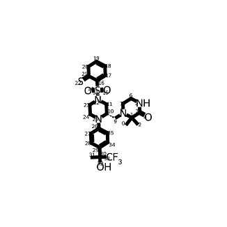 CC1(C)C(=O)NCCN1C[C@H]1CN(S(=O)(=O)C2=CC=CCC2=S)CCN1c1ccc(C(C)(O)C(F)(F)F)cc1